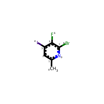 Cc1cc(I)c(F)c(Br)n1